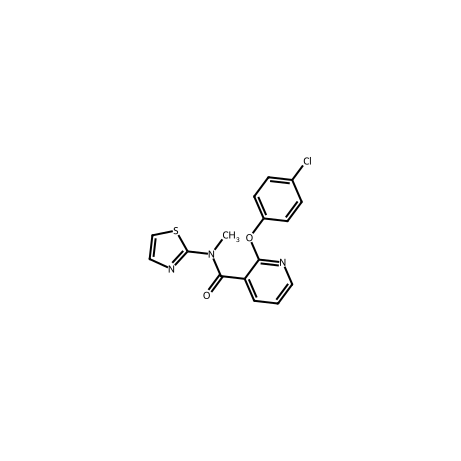 CN(C(=O)c1cccnc1Oc1ccc(Cl)cc1)c1nccs1